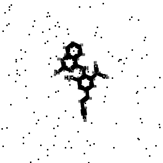 [2H]c1nc(Nc2c(C)cc(C=CC#N)cc2[N+](=O)[O-])c2ccccc2n1